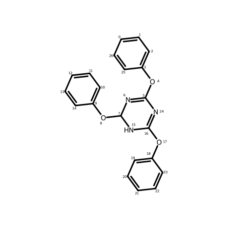 c1ccc(OC2=NC(Oc3ccccc3)NC(Oc3ccccc3)=N2)cc1